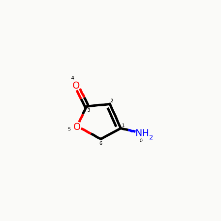 NC1=CC(=O)OC1